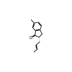 CC=CC[C@H]1Cc2ccc(C)cc2C1=O